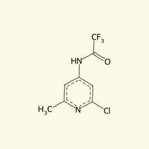 Cc1cc(NC(=O)C(F)(F)F)cc(Cl)n1